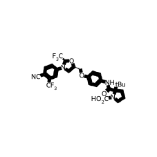 CC(C)(C)C1(C(=O)Nc2ccc(OC[C@@H]3CN(c4ccc(C#N)c(C(F)(F)F)c4)[C@@H](C(F)(F)F)O3)cc2)CCCN1C(=O)O